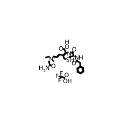 CC[N+](C)(C/C=C/C1=C(C(=O)O)N2C(=O)[C@@H](NC(=O)Cc3ccccc3)[C@H]2SC1)CC(N)=O.O=C(O)C(F)(F)F